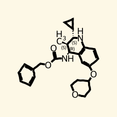 C[C@@H]1[C@@H](NC(=O)OCc2ccccc2)c2cc(OC3CCOCC3)ccc2N[C@H]1C1CC1